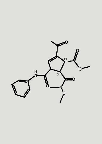 COC(=O)[C@H]1C(C(C)=O)=CC(C(=O)Nc2ccccc2)[C@@H]1C(=O)N(C)OC